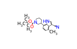 Cc1ccc(C2CCCN(C(=O)OC(C)(C)C)C2)c2[nH]cc(C#N)c12